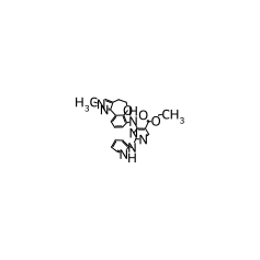 CCOC(=O)c1cnc(Nc2ccccn2)nc1Nc1cccc2c1OCCc1cn(C)nc1-2